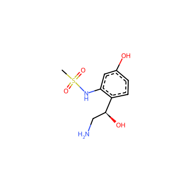 CS(=O)(=O)Nc1cc(O)ccc1[C@@H](O)CN